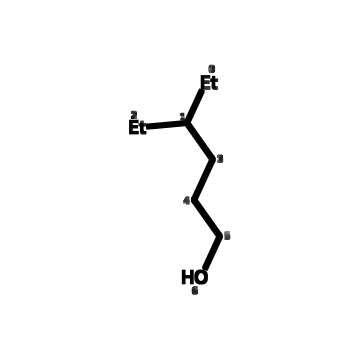 [CH2]CC(CC)CCCO